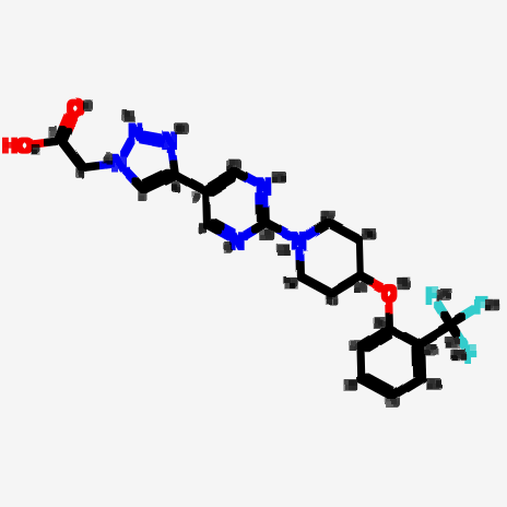 O=C(O)Cn1cc(-c2cnc(N3CCC(Oc4ccccc4C(F)(F)F)CC3)nc2)nn1